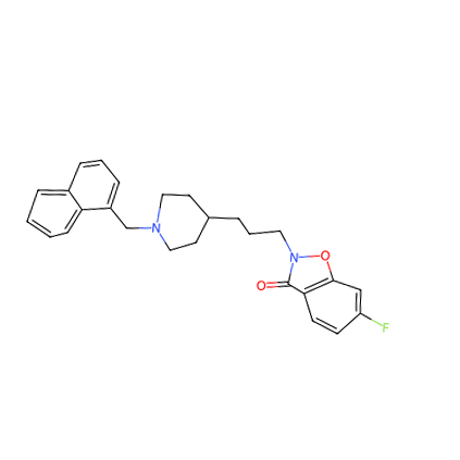 O=c1c2ccc(F)cc2on1CCCC1CCN(Cc2cccc3ccccc23)CC1